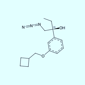 CC[C@@](O)(CN=[N+]=[N-])c1cccc(OCC2CCC2)c1